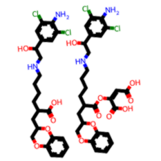 Nc1c(Cl)cc(C(O)CNCCCCC(CC2COc3ccccc3O2)C(=O)O)cc1Cl.Nc1c(Cl)cc(C(O)CNCCCCC(CC2COc3ccccc3O2)C(=O)OC(=CC(=O)O)C(=O)O)cc1Cl